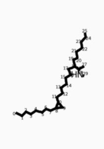 CCCCCCCCC1CC1CCCCCCCC(CCCCCCC)C(C)NC